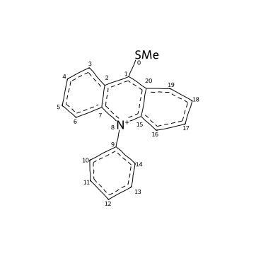 CSc1c2ccccc2[n+](-c2ccccc2)c2ccccc12